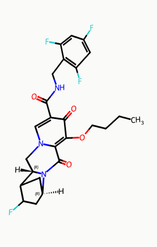 CCCCOc1c2n(cc(C(=O)NCc3c(F)cc(F)cc3F)c1=O)C[C@H]1C3C[C@H](CC3F)N1C2=O